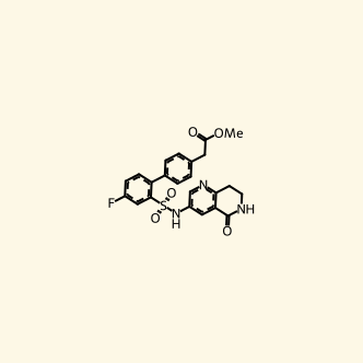 COC(=O)Cc1ccc(-c2ccc(F)cc2S(=O)(=O)Nc2cnc3c(c2)C(=O)NCC3)cc1